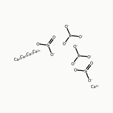 O=[Si]([O-])[O-].O=[Si]([O-])[O-].[Ca+2].[Ca+2].[Ca+2].[Ca+2].[Ca+2].[O-]B([O-])[O-].[O-]B([O-])[O-]